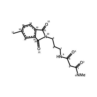 CNC(=O)CC(=O)NCCCN1C(=O)c2ccc(C)cc2C1=O